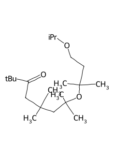 CC(C)OCCC(C)(C)OC(C)(C)CC(C)(C)CC(=O)C(C)(C)C